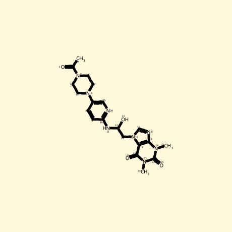 CC(=O)N1CCN(c2ccc(NC(O)Cn3cnc4c3c(=O)n(C)c(=O)n4C)nc2)CC1